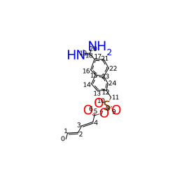 C/C=C/C=C/C(=O)OS(=O)(=O)Cc1ccc2cc(C(=N)N)ccc2c1